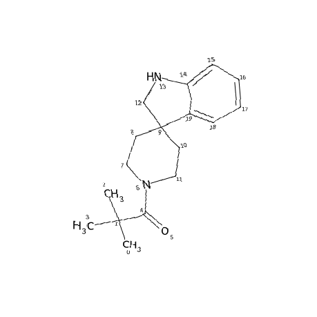 CC(C)(C)C(=O)N1CCC2(CC1)CNc1ccccc12